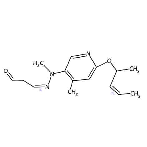 C/C=C\C(C)Oc1cc(C)c(N(C)/N=C\CC=O)cn1